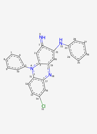 N=c1cc2n(-c3ccccc3)c3ccc(Cl)cc3nc-2cc1Nc1ccccc1